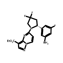 CCOC(=O)c1cnn2ccc(N3CC(F)(F)C[C@@H]3c3cc(N)cc(F)c3)nc12